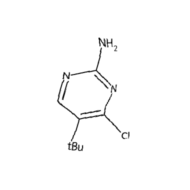 CC(C)(C)c1cnc(N)nc1Cl